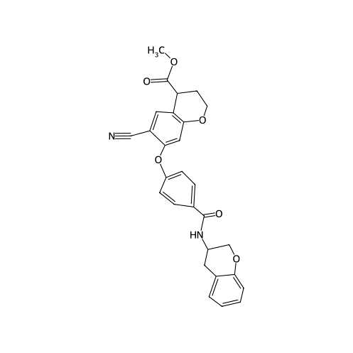 COC(=O)C1CCOc2cc(Oc3ccc(C(=O)NC4COc5ccccc5C4)cc3)c(C#N)cc21